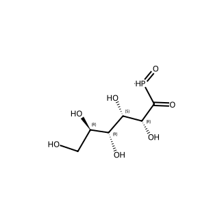 O=[PH]C(=O)[C@H](O)[C@@H](O)[C@H](O)[C@H](O)CO